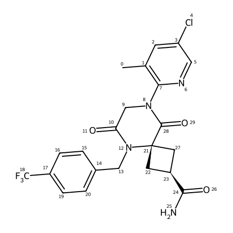 Cc1cc(Cl)cnc1N1CC(=O)N(Cc2ccc(C(F)(F)F)cc2)[C@]2(C[C@H](C(N)=O)C2)C1=O